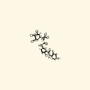 O=C(Nc1ccc(F)cc1F)c1cc(NC(=O)[C@@H]2[C@@H](C3C=C(Cl)C(Cl)=C(Cl)C3)C2(Cl)Cl)ccc1Cl